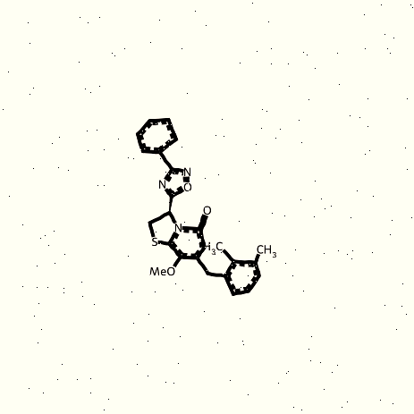 COc1c(Cc2cccc(C)c2C)cc(=O)n2c1SC[C@H]2c1nc(-c2ccccc2)no1